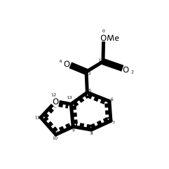 COC(=O)C(=O)c1cccc2ccoc12